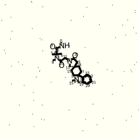 CNC(=O)C(C)(C)N(C)C(=O)CN1C[C@]2(CC[C@](c3ccccc3)(N(C)C)CC2)CC1=O